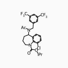 CC(=O)N(Cc1cc(C(F)(F)F)cc(C(F)(F)F)c1)C1CCCN(C(=O)OC(C)C)c2c(Cl)cccc21